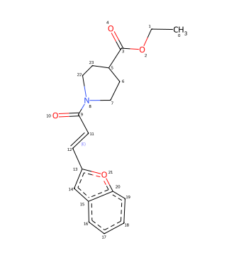 CCOC(=O)C1CCN(C(=O)/C=C/c2cc3ccccc3o2)CC1